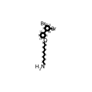 NCCCCCCCCCCOc1cccc(-c2cc(Br)cc(Br)c2)c1